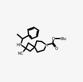 CC(NC1(C#N)CC2(CCN(C(=O)OC(C)(C)C)CC2)C1)c1ccccc1